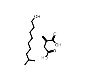 C=C(CC(=O)O)C(=O)O.CC(C)CCCCCCCO